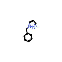 C1=CN(Cc2ccccc2)[N+]=C1